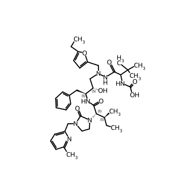 CCc1ccc(CN(C[C@H](O)[C@H](Cc2ccccc2)NC(=O)[C@H]([C@@H](C)CC)N2CCN(Cc3cccc(C)n3)C2=O)NC(=O)C(NC(=O)O)C(C)(C)C)o1